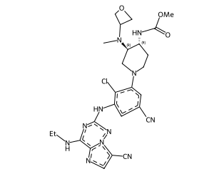 CCNc1nc(Nc2cc(C#N)cc(N3CC[C@@H](NC(=O)OC)[C@H](N(C)C4COC4)C3)c2Cl)nn2c(C#N)cnc12